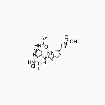 CNC(=O)c1nnc(NC(=O)C2CC2)cc1Nc1nc2ccc(C3CN(C(=O)O)C3)cn2n1